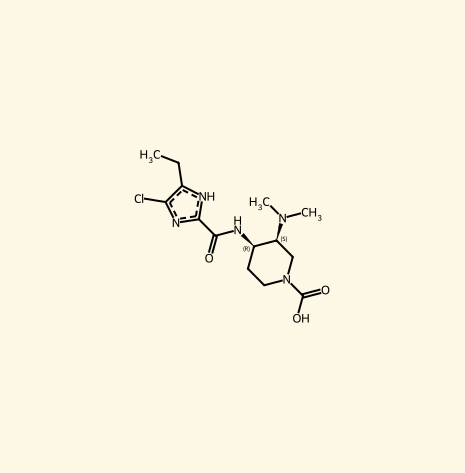 CCc1[nH]c(C(=O)N[C@@H]2CCN(C(=O)O)C[C@@H]2N(C)C)nc1Cl